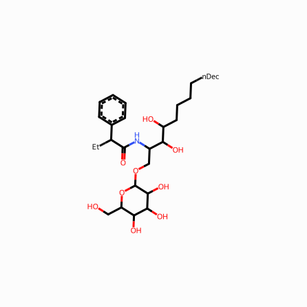 CCCCCCCCCCCCCCC(O)C(O)C(COC1OC(CO)C(O)C(O)C1O)NC(=O)C(CC)c1ccccc1